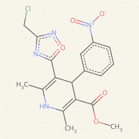 COC(=O)C1=C(C)NC(C)=C(c2nc(CCl)no2)C1c1cccc([N+](=O)[O-])c1